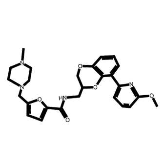 COc1cccc(-c2cccc3c2OC(CNC(=O)c2ccc(CN4CCN(C)CC4)o2)CO3)n1